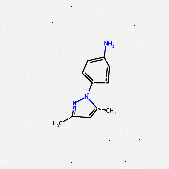 Cc1cc(C)n(-c2ccc(N)cc2)n1